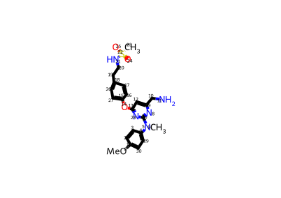 COc1ccc(N(C)c2nc(CN)cc(Oc3ccc(CCNS(C)(=O)=O)cc3)n2)cc1